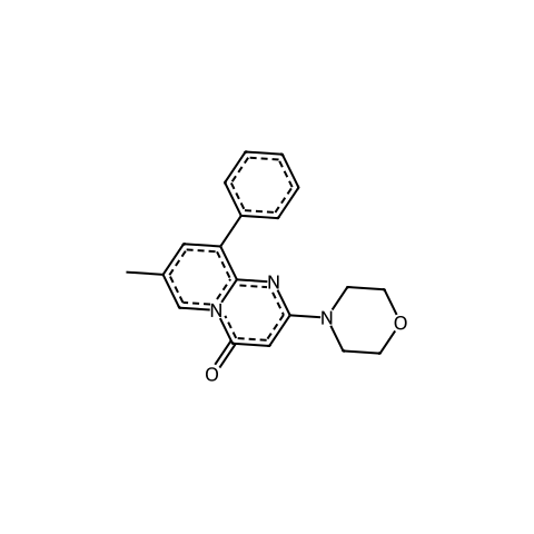 Cc1cc(-c2ccccc2)c2nc(N3CCOCC3)cc(=O)n2c1